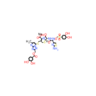 Cc1cc(SCC2=C(C(=O)O)N3C(=O)[C@@H](NC(=O)C(=NOCS(=O)(=O)c4ccc(O)c(O)c4)c4csc(N)n4)[C@H]3SC2)n2nc(COC(=O)c3ccc(O)c(O)c3)nc2n1.[Na]